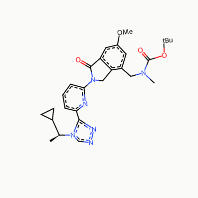 COc1cc(CN(C)C(=O)OC(C)(C)C)c2c(c1)C(=O)N(c1cccc(-c3nncn3[C@@H](C)C3CC3)n1)C2